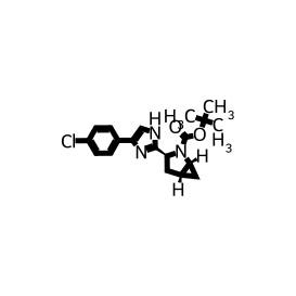 CC(C)(C)OC(=O)N1[C@@H]2C[C@@H]2C[C@H]1c1nc(-c2ccc(Cl)cc2)c[nH]1